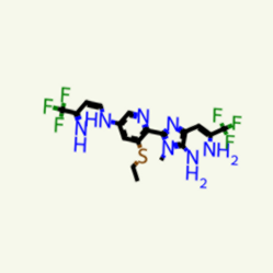 CCSc1cc(N/C=C\C(=N)C(F)(F)F)cnc1-c1nc(/C=C(\N)C(F)(F)F)c(N)n1C